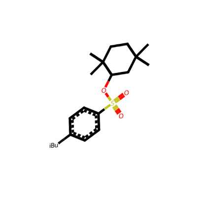 CCC(C)c1ccc(S(=O)(=O)OC2CC(C)(C)CCC2(C)C)cc1